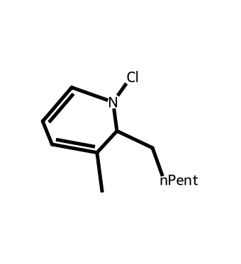 CCCCCCC1C(C)=CC=CN1Cl